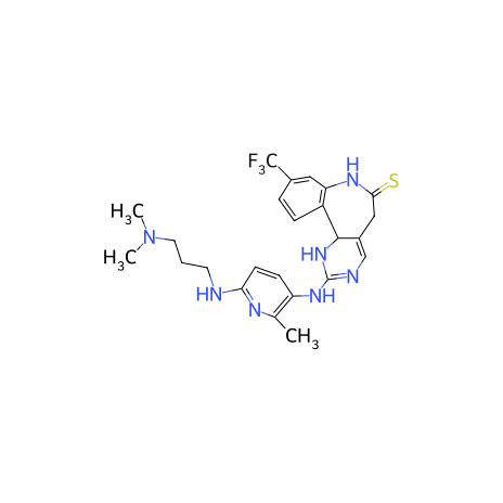 Cc1nc(NCCCN(C)C)ccc1NC1=NC=C2CC(=S)Nc3cc(C(F)(F)F)ccc3C2N1